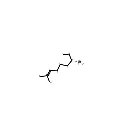 B[C@@H](CC)CCCC=C(C)C